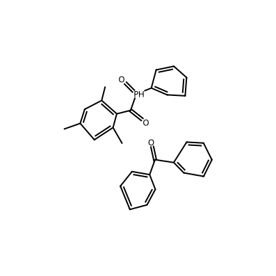 Cc1cc(C)c(C(=O)[PH](=O)c2ccccc2)c(C)c1.O=C(c1ccccc1)c1ccccc1